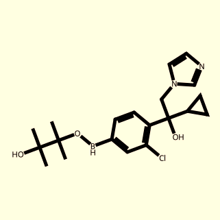 CC(C)(O)C(C)(C)OBc1ccc(C(O)(Cn2ccnc2)C2CC2)c(Cl)c1